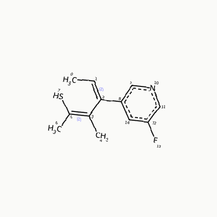 C/C=C(\C(C)=C(\C)S)c1cncc(F)c1